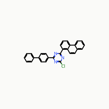 Clc1nc(-c2ccc(-c3ccccc3)cc2)nc(-c2cccc3c2ccc2ccccc23)n1